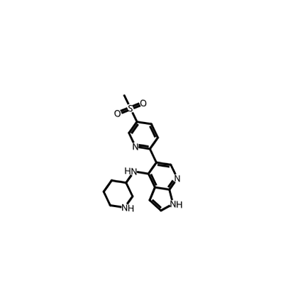 CS(=O)(=O)c1ccc(-c2cnc3[nH]ccc3c2NC2CCCNC2)nc1